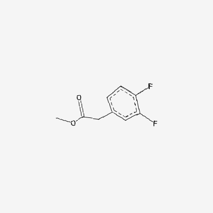 COC(=O)Cc1ccc(F)c(F)c1